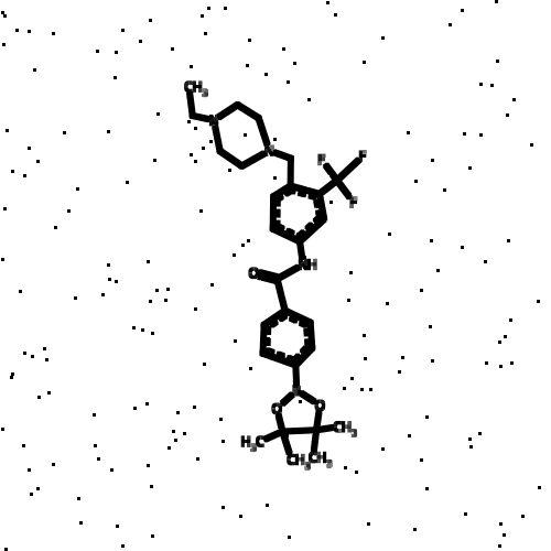 CCN1CCN(Cc2ccc(NC(=O)c3ccc(B4OC(C)(C)C(C)(C)O4)cc3)cc2C(F)(F)F)CC1